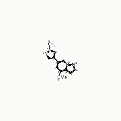 COc1cc(-c2cnn(C)c2)cn2nc[c]c12